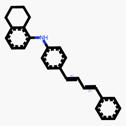 C(/C=C/c1ccc(Nc2cccc3c2CCCC3)cc1)=C\c1ccccc1